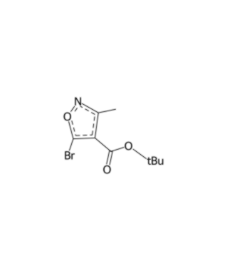 Cc1noc(Br)c1C(=O)OC(C)(C)C